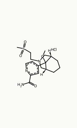 COC1(c2ccnc(C(N)=O)c2)[C@@H]2CCC[C@H]1CN(CCS(C)(=O)=O)C2.Cl